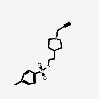 C#CCN1CCC(CCOS(=O)(=O)c2ccc(C)cc2)CC1